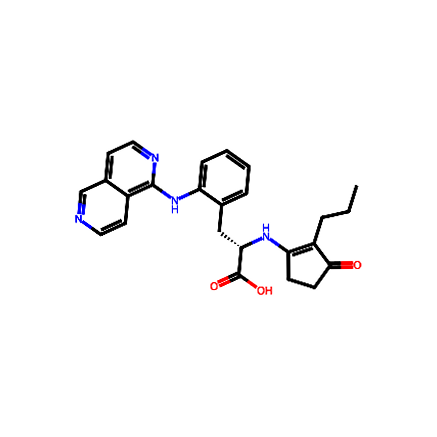 CCCC1=C(N[C@@H](Cc2ccccc2Nc2nccc3cnccc23)C(=O)O)CCC1=O